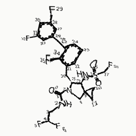 O=C(NCC(F)F)N1CC2(CC2)[C@H](NS(=O)(=O)CF)[C@@H]1Cc1cccc(-c2cc(F)cc(F)c2)c1F